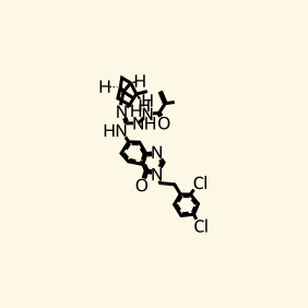 C=C(C)C(=O)NN/C(=N\[C@H]1C[C@H]2C[C@@H]([C@@H]1C)C2(C)C)Nc1ccc2c(=O)n(CCc3ccc(Cl)cc3Cl)cnc2c1